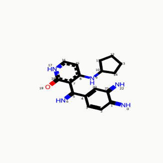 N=C1C=CC(C(=N)c2c(NC3CCCC3)cc[nH]c2=O)=CC1=N